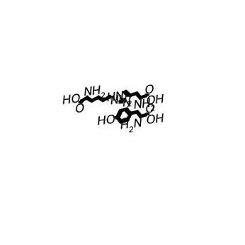 NCCCC[C@H](N)C(=O)O.N[C@@H](Cc1c[nH]cn1)C(=O)O.N[C@@H](Cc1ccc(O)cc1)C(=O)O